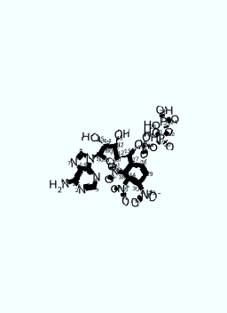 Nc1ncnc2c1ncn2[C@@H]1O[C@H](C(OP(=O)(O)OP(=O)(O)OP(=O)(O)O)c2ccc([N+](=O)[O-])c([N+](=O)[O-])c2[N+](=O)[O-])[C@@H](O)[C@H]1O